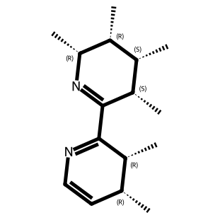 C[C@@H]1[C@H](C)[C@H](C)C(C2=NC=C[C@@H](C)[C@H]2C)=N[C@@H]1C